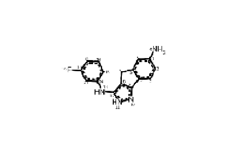 Nc1ccc2c(c1)Cc1c-2n[nH]c1Nc1cccc(F)c1